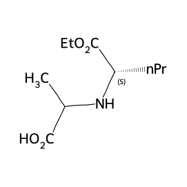 CCC[C@H](NC(C)C(=O)O)C(=O)OCC